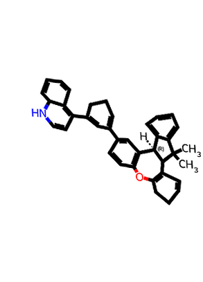 CC1(C)c2ccccc2[C@@H]2c3cc(C4=CCCC(C5=C6C=CC=CC6NC=C5)=C4)ccc3OC3=C(C=CCC3)C21